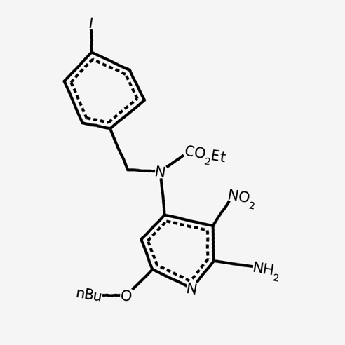 CCCCOc1cc(N(Cc2ccc(I)cc2)C(=O)OCC)c([N+](=O)[O-])c(N)n1